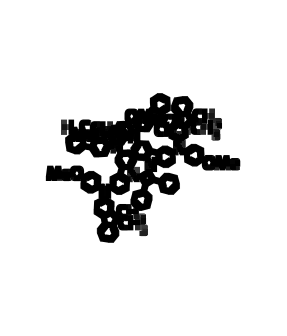 COc1ccc(N(c2ccc3c(c2)C(C)(C)c2ccccc2-3)c2ccc3c(c2)c2cc(N(c4ccc(OC)cc4)c4ccc5c(c4)C(C)(C)c4ccccc4-5)ccc2n3C2C(c3ccccc3)C(c3ccccc3)C2n2c3ccc(N(c4ccc(OC)cc4)c4ccc5c(c4)C(C)(C)c4ccccc4-5)cc3c3cc(N(c4ccc(OC)cc4)c4ccc5c(c4)C(C)(C)c4ccccc4-5)ccc32)cc1